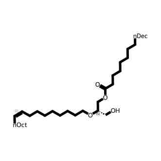 CCCCCCCC/C=C\CCCCCCCCO[C@@H](CO)COC(=O)CCCCCCCCCCCCCCCCC